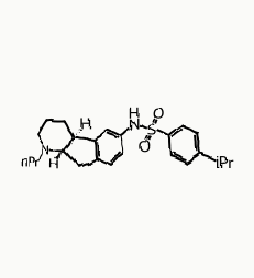 CCCN1CCC[C@H]2c3cc(NS(=O)(=O)c4ccc(C(C)C)cc4)ccc3C[C@@H]21